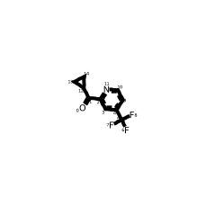 O=C(c1cc(C(F)(F)F)ccn1)C1CC1